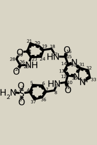 NS(=O)(=O)c1ccc(CNC(=O)c2cc(C(=O)NCc3ccc4c(c3)NC(=O)CO4)nc3ccnn23)cc1